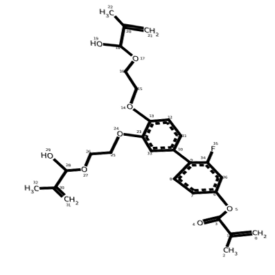 C=C(C)C(=O)Oc1ccc(-c2ccc(OCCOC(O)C(=C)C)c(OCCOC(O)C(=C)C)c2)c(F)c1